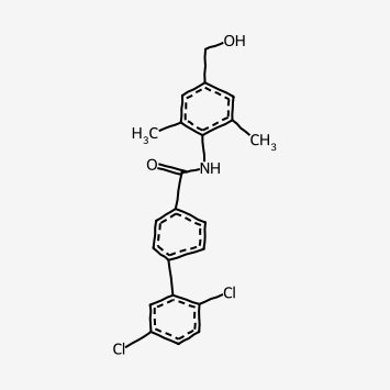 Cc1cc(CO)cc(C)c1NC(=O)c1ccc(-c2cc(Cl)ccc2Cl)cc1